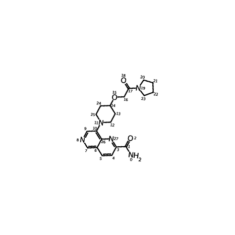 NC(=O)c1ccc2cncc(N3CCC(OCC(=O)N4CCCC4)CC3)c2n1